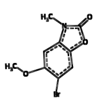 COc1cc2c(cc1Br)oc(=O)n2C